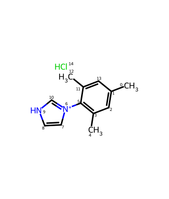 Cc1cc(C)c(-[n+]2cc[nH]c2)c(C)c1.Cl